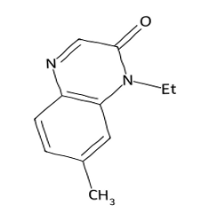 CCn1c(=O)cnc2ccc(C)cc21